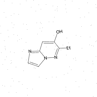 CCc1nn2ccnc2cc1O